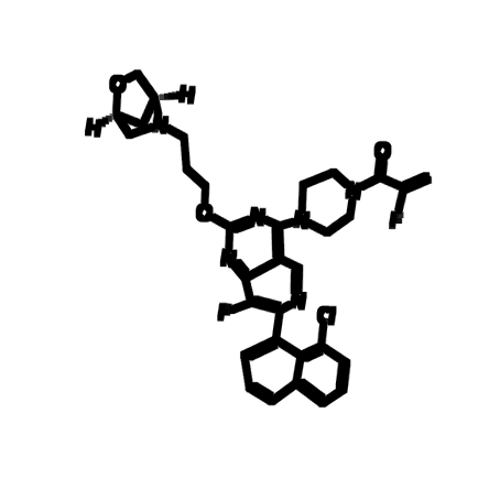 C=C(F)C(=O)N1CCN(c2nc(OCCCN3C[C@@H]4C[C@H]3CO4)nc3c(F)c(-c4cccc5cccc(Cl)c45)ncc23)CC1